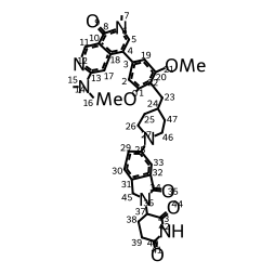 COc1cc(-c2cn(C)c(=O)c3cnc(N(C)C)cc23)cc(OC)c1CC1CCN(c2ccc3c(c2)C(=O)N(C2CCC(=O)NC2=O)C3)CC1